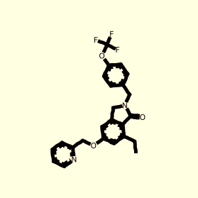 CCc1cc(OCc2ccccn2)cc2c1C(=O)N(Cc1ccc(OC(F)(F)F)cc1)C2